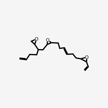 C=CCCC(CC1OC1CC/C=C/CCC1OC1C=C)C1CO1